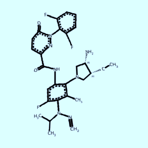 C=NN(c1c(F)cc(NC(=O)c2ccc(=O)n(-c3c(F)cccc3F)n2)c(N2C[C@@H](CC)[C@@H](N)C2)c1C)C(C)C